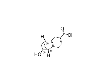 O=C(O)C1=CCC2=C(C1)[C@@H]1C[C@H]2[C@@H](O)C1